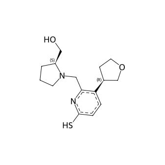 OC[C@@H]1CCCN1Cc1nc(S)ccc1[C@H]1CCOC1